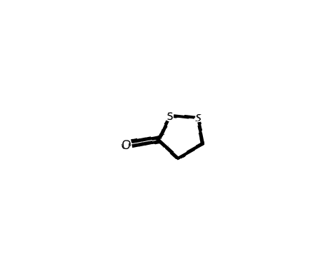 O=C1CCSS1